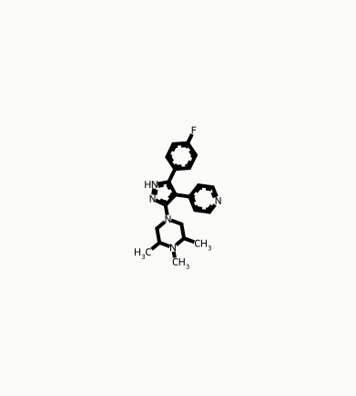 CC1CN(c2n[nH]c(-c3ccc(F)cc3)c2-c2ccncc2)CC(C)N1C